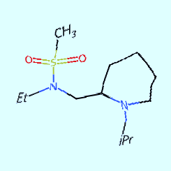 CCN(CC1CCCCN1C(C)C)S(C)(=O)=O